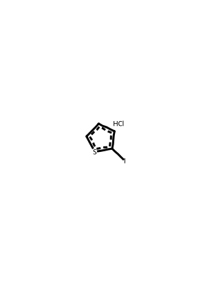 Cl.Ic1cccs1